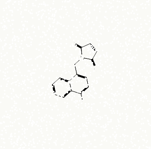 O=C(O)c1ccc(CN2C(=O)C=CC2=O)c2ccccc12